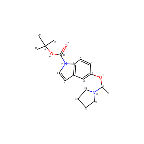 CC(Oc1ccc2c(ccn2C(=O)OC(C)(C)C)c1)N1CCCC1